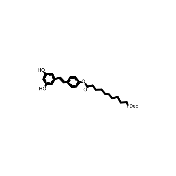 CCCCCCCCCCCCCCCCCCCC(=O)Oc1ccc(C=Cc2cc(O)cc(O)c2)cc1